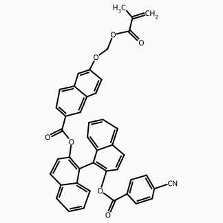 C=C(C)C(=O)OCOc1ccc2cc(C(=O)Oc3ccc4ccccc4c3-c3c(OC(=O)c4ccc(C#N)cc4)ccc4ccccc34)ccc2c1